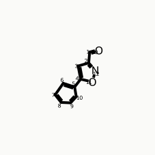 O=[C]c1cc(-c2ccccc2)on1